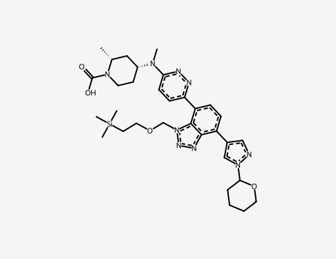 C[C@@H]1C[C@H](N(C)c2ccc(-c3ccc(-c4cnn(C5CCCCO5)c4)c4nnn(COCC[Si](C)(C)C)c34)nn2)CCN1C(=O)O